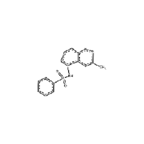 Cc1cc2c(NS(=O)(=O)c3ccccc3)cccc2nn1